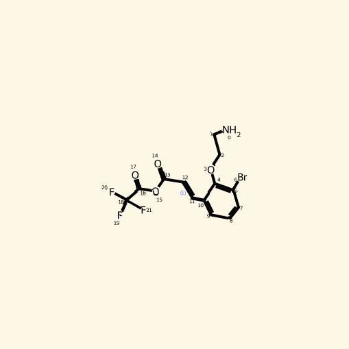 NCCOc1c(Br)cccc1/C=C/C(=O)OC(=O)C(F)(F)F